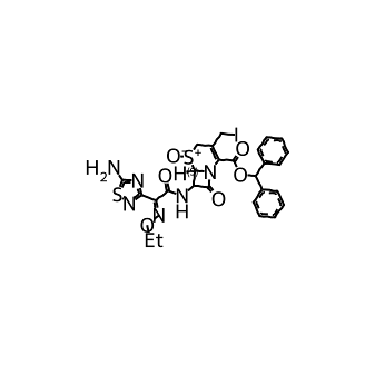 CCON=C(C(=O)NC1C(=O)N2C(C(=O)OC(c3ccccc3)c3ccccc3)=C(CI)C[S+]([O-])[C@@H]12)c1nsc(N)n1